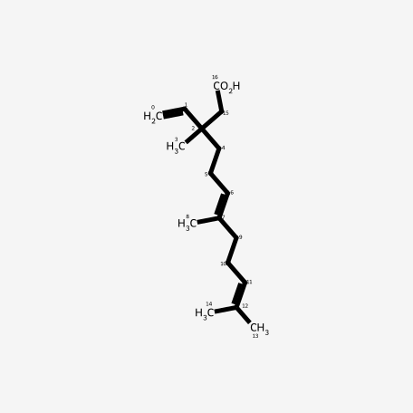 C=CC(C)(CC/C=C(\C)CCC=C(C)C)CC(=O)O